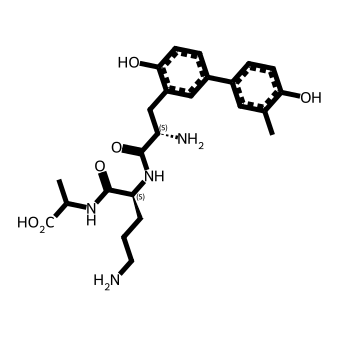 Cc1cc(-c2ccc(O)c(C[C@H](N)C(=O)N[C@@H](CCCN)C(=O)NC(C)C(=O)O)c2)ccc1O